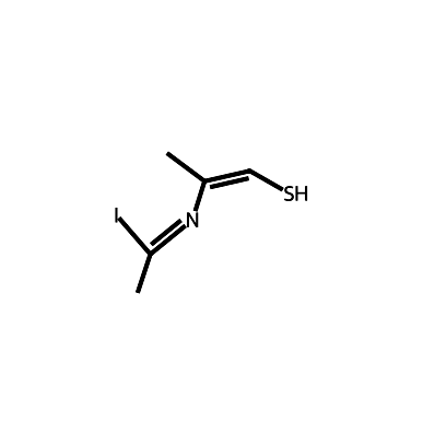 CC(=C/S)/N=C(/C)I